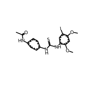 COc1cc(OC)c(NC(=S)Nc2ccc(NC(C)=O)cc2)cc1I